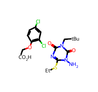 CCSc1nc(=O)n(CC(C)(C)C)c(=O)n1N.O=C(O)COc1ccc(Cl)cc1Cl